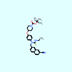 CCNC(=S)N(Cc1ccc2ccc(C#N)cc2c1)c1ccc(OC2CCN(C(=O)OC(C)(C)C)CC2)cc1